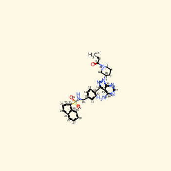 C=CC(=O)N1CCC[C@@H](n2nc(-c3ccc(CNS(=O)(=O)c4cccc5ccccc45)cc3)c3c(N)ncnc32)C1